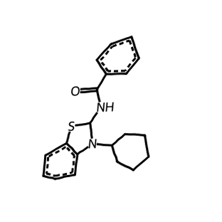 O=C(NC1Sc2ccccc2N1C1CCCCC1)c1ccccc1